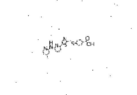 Cc1ccnc(Nc2cccc(-c3cnc(CSc4ccc(C(=O)O)cc4)s3)n2)c1